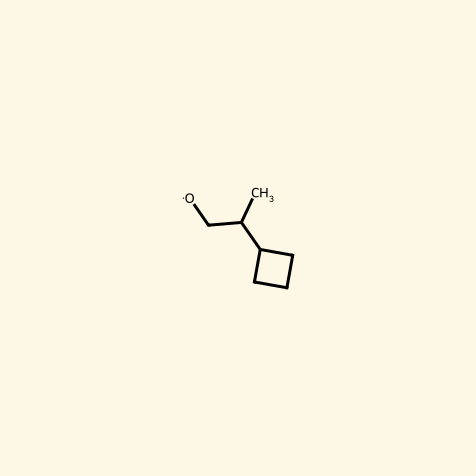 CC(C[O])C1CCC1